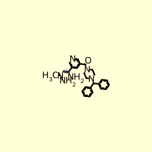 CN(N)/C=C(\N)c1cncc(C(=O)N2CCN(C(c3ccccc3)c3ccccc3)CC2)c1